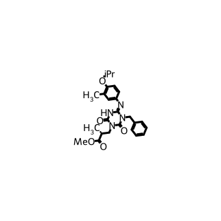 COC(=O)[C@@H](C)Cn1c(=O)[nH]/c(=N\c2ccc(OC(C)C)c(C)c2)n(Cc2ccccc2)c1=O